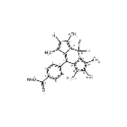 CCC1=C(C)C2=C(c3ccc(C(=O)OC)cc3)c3c(C)c(CC)c(C)n3[B-](F)(F)[N+]2=C1C